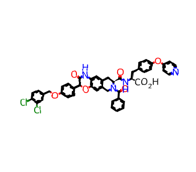 O=C1Nc2cc3c(cc2OC1c1ccc(OCc2ccc(Cl)c(Cl)c2)cc1)CN(C(=O)c1ccccc1)[C@H](C(=O)N[C@@H](Cc1ccc(Oc2ccncc2)cc1)C(=O)O)C3